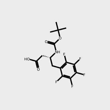 CC(C)(C)OC(=O)N[C@@H](CC(=O)O)Cc1c(F)c(F)c(F)c(F)c1F